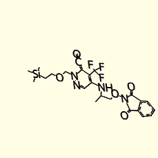 CC(CON1C(=O)c2ccccc2C1=O)NC1=C(C(F)(F)F)C(=C=O)N(COCC[Si](C)(C)C)N=C1